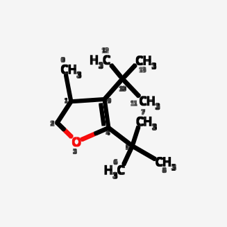 CC1COC(C(C)(C)C)=C1C(C)(C)C